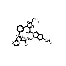 Cc1cccc(-c2sc(C)nc2C(=O)N2CC3CC(C)CC3[C@H]2CNC(=O)c2cnc3sccn23)c1